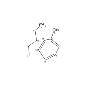 CCCCP.Oc1ccccc1